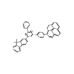 CC1(C)c2ccccc2-c2ccc(-c3cc(-c4ccc(-c5ccc6ccc7cccc8ccc5c6c78)cc4)nc(-c4ccccc4)n3)cc21